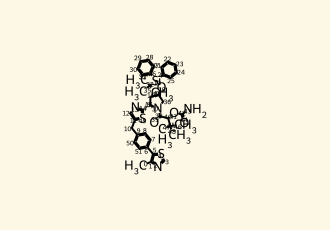 Cc1ncsc1-c1ccc(Cc2cnc([C@@H]3C[C@@H](O[Si](c4ccccc4)(c4ccccc4)C(C)(C)C)CN3C(=O)C(OC(N)=O)C(C)(C)C)s2)cc1